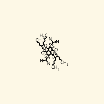 CCCCCCC(CCCC)Cn1c(=O)c2c3sc(=C(C#N)C#N)sc3c3c(=O)n(CC(CCCC)CCCCCC)c(=O)c4c5sc(=C(C#N)C#N)sc5c(c1=O)c2c34